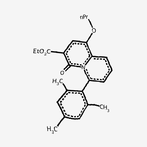 CCCOc1cc(C(=O)OCC)c(=O)n2c(-c3c(C)cc(C)cc3C)cccc12